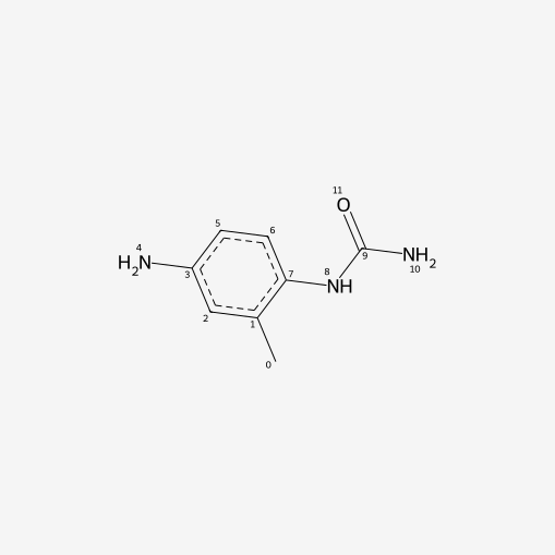 Cc1cc(N)ccc1NC(N)=O